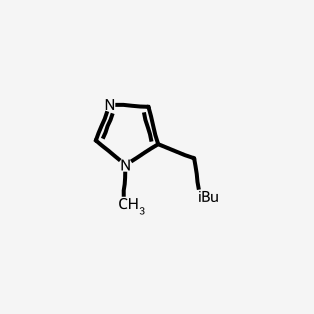 CCC(C)Cc1cncn1C